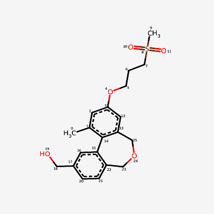 Cc1cc(OCCCS(C)(=O)=O)cc2c1-c1cc(CO)ccc1COC2